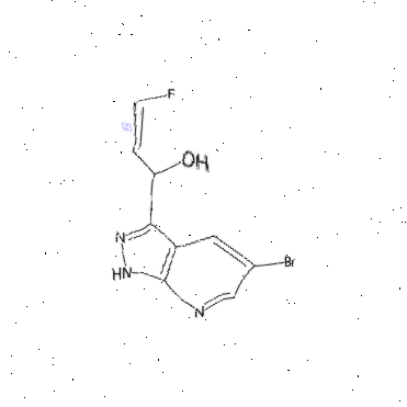 OC(/C=C\F)c1n[nH]c2ncc(Br)cc12